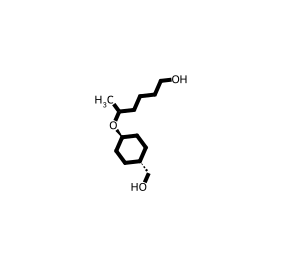 CC(CCCCO)O[C@H]1CC[C@H](CO)CC1